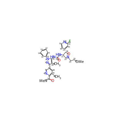 CNC(=O)c1ncc(-c2nn(-c3ccccc3)c(NC(=O)N[C@@H]3CN(CCOC)O[C@H]3c3ccnc(F)c3)c2C)cc1C